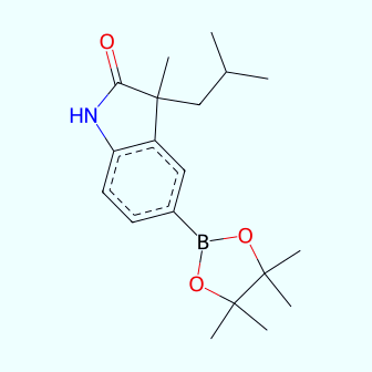 CC(C)CC1(C)C(=O)Nc2ccc(B3OC(C)(C)C(C)(C)O3)cc21